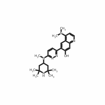 CN(C)c1ccnc2cc(O)c(-c3ccc(N(C)C4CC(C)(C)NC(C)(C)C4)nn3)cc12